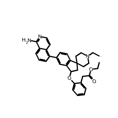 [CH2]CN1CCC2(CC1)CC(Oc1ccccc1CC(=O)OCC)c1cc(-c3cccc4c(N)nccc34)ccc12